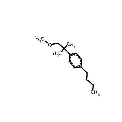 CC[CH]Cc1ccc(C(C)(C)COC)cc1